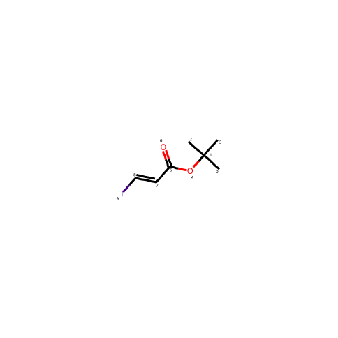 CC(C)(C)OC(=O)/C=C/I